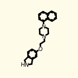 c1ccc2c(N3CCN(CCOc4ccc5c(c4)CNC5)CC3)cccc2c1